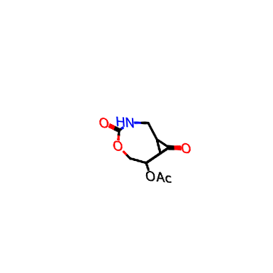 CC(=O)OC1COC(=O)NCC2C(=O)C12